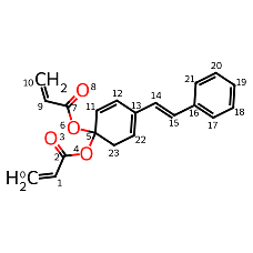 C=CC(=O)OC1(OC(=O)C=C)C=CC(C=Cc2ccccc2)=CC1